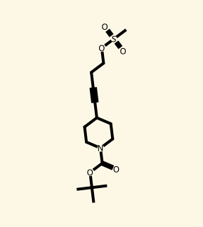 CC(C)(C)OC(=O)N1CCC(C#CCCOS(C)(=O)=O)CC1